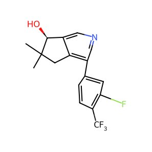 CC1(C)Cc2c(-c3ccc(C(F)(F)F)c(F)c3)cncc2[C@@H]1O